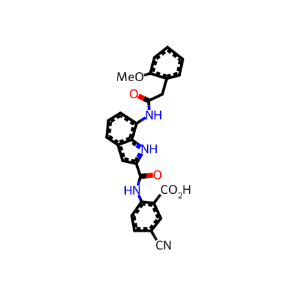 COc1ccccc1CC(=O)Nc1cccc2cc(C(=O)Nc3ccc(C#N)cc3C(=O)O)[nH]c12